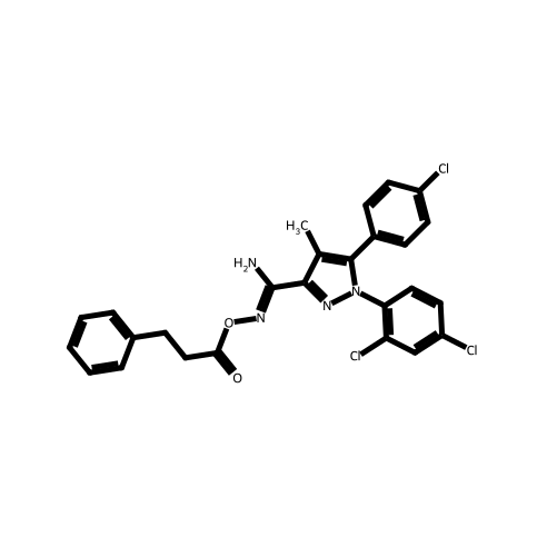 Cc1c(/C(N)=N/OC(=O)CCc2ccccc2)nn(-c2ccc(Cl)cc2Cl)c1-c1ccc(Cl)cc1